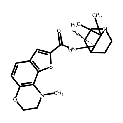 CN1CCOc2ccc3cc(C(=O)N[C@@H]4C5CCN(CC5)C4(C)C)sc3c21